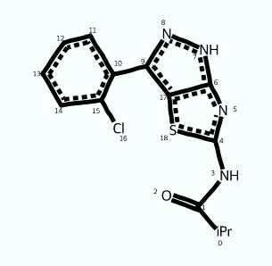 CC(C)C(=O)Nc1nc2[nH]nc(-c3ccccc3Cl)c2s1